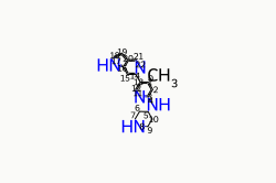 Cc1cc(NC2CCNCC2)ncc1-c1cc2[nH]ccc2cn1